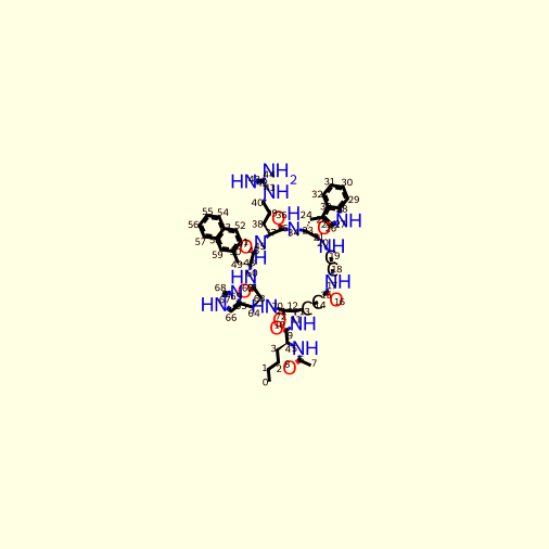 CCCC[C@H](NC(C)=O)C(=O)N[C@H]1CCC(=O)NCCNC(=O)[C@@H](Cc2c[nH]c3ccccc23)NC(=O)[C@H](CCCNC(=N)N)NC(=O)[C@@H](Cc2ccc3ccccc3c2)NC(=O)[C@H](Cc2c[nH]cn2)NC1=O